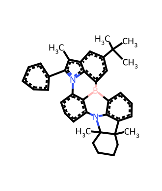 Cc1c(-c2ccccc2)n2c3c(cc(C(C)(C)C)cc13)B1c3cccc4c3N(c3cccc-2c31)C1(C)CCCCC41C